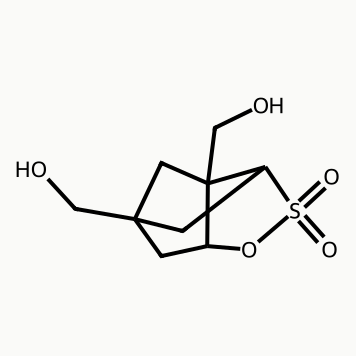 O=S1(=O)OC2CC3(CO)CC1C2(CO)C3